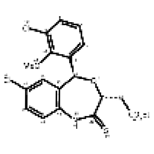 CCOC(=O)C[C@H]1O[C@H](c2cccc(Cl)c2OC)c2cc(Cl)ccc2NC1=S